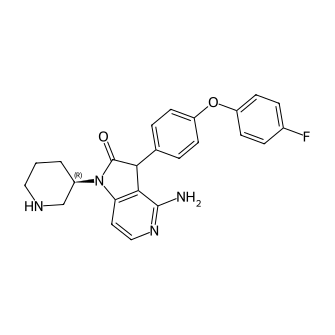 Nc1nccc2c1C(c1ccc(Oc3ccc(F)cc3)cc1)C(=O)N2[C@@H]1CCCNC1